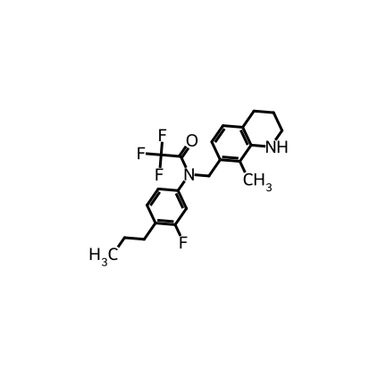 CCCc1ccc(N(Cc2ccc3c(c2C)NCCC3)C(=O)C(F)(F)F)cc1F